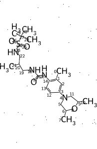 Cc1cc(N2CC(C)OC(C)C2)ccc1NC(=O)NCC(C)CNS(=O)(=O)C(C)(C)C